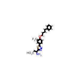 N[C@@H](CC(=O)O)c1nnc(-c2ccc(OCCCCc3ccccc3)c(C(F)(F)F)c2)s1